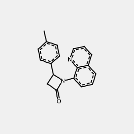 Cc1ccc(C2CC(=O)N2c2cccc3cccnc23)cc1